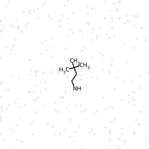 CC(C)(C)CC[NH]